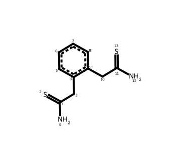 NC(=S)Cc1ccccc1CC(N)=S